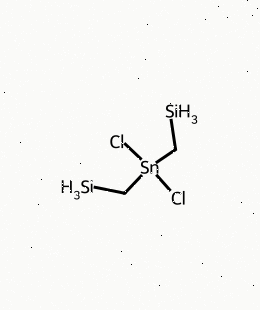 [SiH3][CH2][Sn]([Cl])([Cl])[CH2][SiH3]